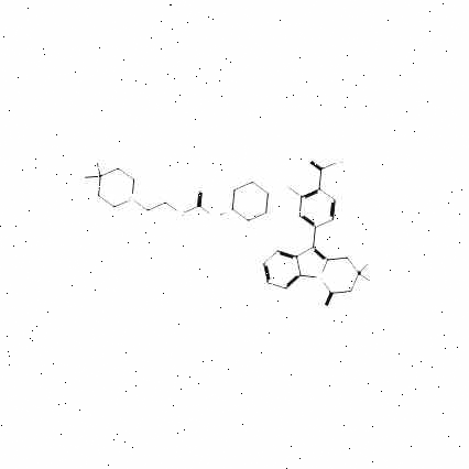 CC1(C)CC(=O)n2c(c(-c3ccc(C(N)=O)c(N[C@H]4CC[C@H](OC(=O)NCCN5CCC(F)(F)CC5)CC4)c3)c3ccccc32)C1